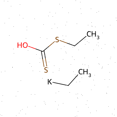 CCSC(O)=S.C[CH2][K]